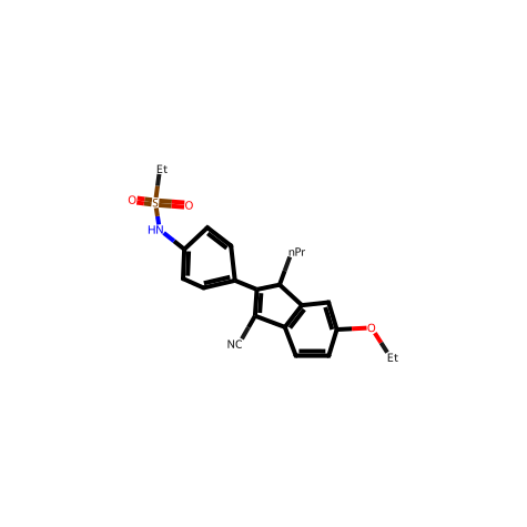 CCCC1C(c2ccc(NS(=O)(=O)CC)cc2)=C(C#N)c2ccc(OCC)cc21